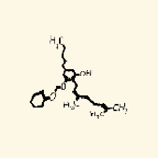 CCCCCc1cc(O)c(CC=C(C)CCC=C(C)C)c(OCOC2CCCCC2)c1